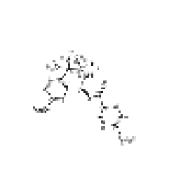 COc1ccc2c(c1)C(=CC(=O)c1ccc(C(=O)O)cc1)NC(C)(C)C2(C)C